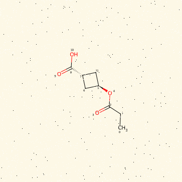 CCC(=O)O[C@H]1C[C@H](C(=O)O)C1